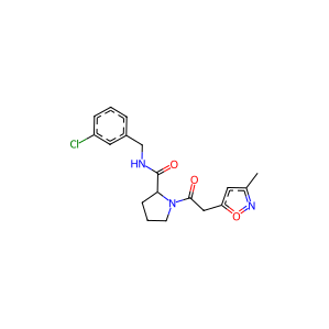 Cc1cc(CC(=O)N2CCCC2C(=O)NCc2cccc(Cl)c2)on1